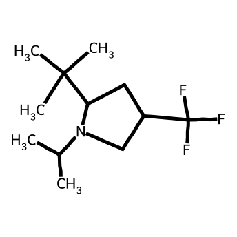 CC(C)N1CC(C(F)(F)F)CC1C(C)(C)C